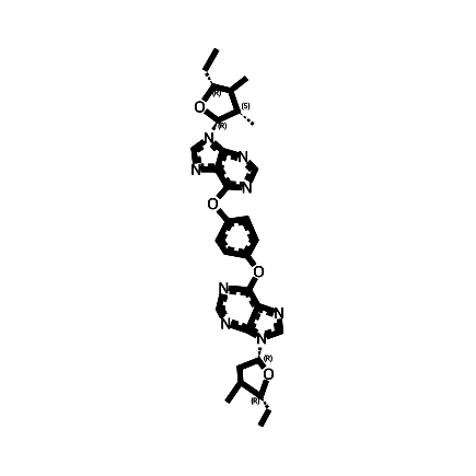 CC[C@H]1O[C@@H](n2cnc3c(Oc4ccc(Oc5ncnc6c5ncn6[C@@H]5O[C@H](CC)C(C)[C@@H]5C)cc4)ncnc32)CC1C